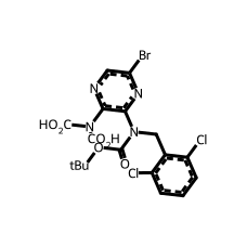 CC(C)(C)OC(=O)N(Cc1c(Cl)cccc1Cl)c1nc(Br)cnc1N(C(=O)O)C(=O)O